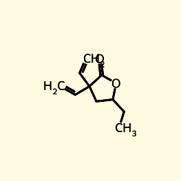 C=CC1(C=C)CC(CC)OC1=O